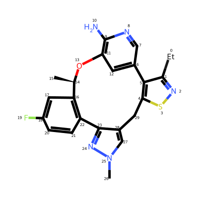 CCc1nsc2c1-c1cnc(N)c(c1)O[C@H](C)c1cc(F)ccc1-c1nn(C)cc1C2